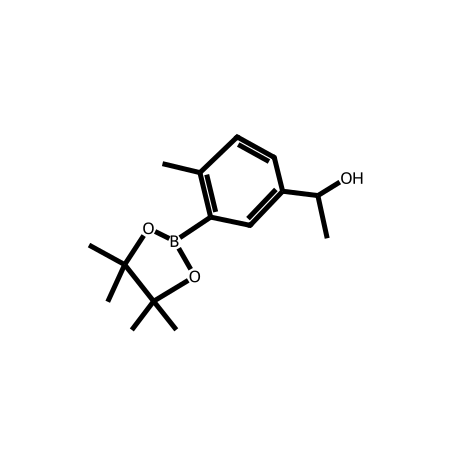 Cc1ccc(C(C)O)cc1B1OC(C)(C)C(C)(C)O1